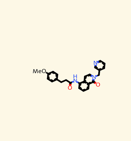 COc1ccc(CCC(=O)Nc2cccc3c(=O)n(Cc4cccnc4)ccc23)cc1